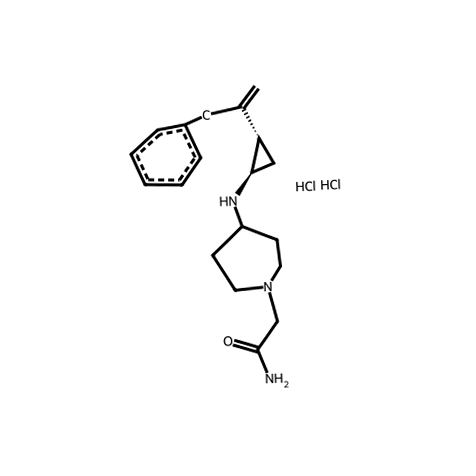 C=C(Cc1ccccc1)[C@@H]1C[C@H]1NC1CCN(CC(N)=O)CC1.Cl.Cl